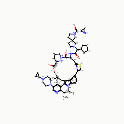 CO[C@@H](C)c1ncc(N2CCN(C3CC3)CC2)cc1-c1c2c3cc(ccc3n1CC(F)(F)F)-c1csc(n1)C[C@H](NC(=O)C(C1CCCC1)N1CC[C@]3(CCN(C(=O)[C@H]4CN4)C3)C1)C(=O)N1CCC[C@H](N1)C(=O)OCC(C)(C)C2